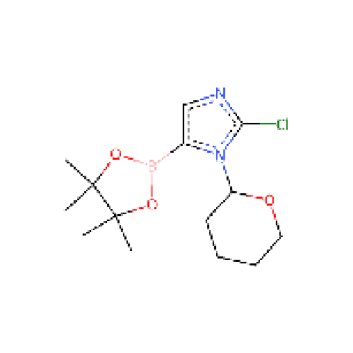 CC1(C)OB(c2cnc(Cl)n2C2CCCCO2)OC1(C)C